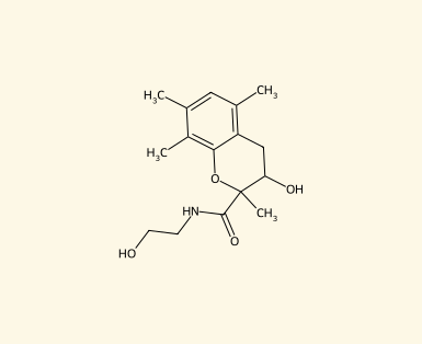 Cc1cc(C)c2c(c1C)OC(C)(C(=O)NCCO)C(O)C2